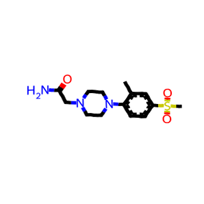 Cc1cc(S(C)(=O)=O)ccc1N1CCN(CC(N)=O)CC1